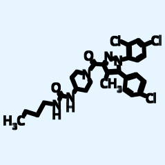 CCCCNC(=O)NC1CCN(C(=O)c2nn(-c3ccc(Cl)cc3Cl)c(-c3ccc(Cl)cc3)c2C)CC1